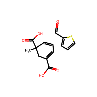 CC1(C(=O)O)C=CC=C(C(=O)O)C1.O=Cc1cccs1